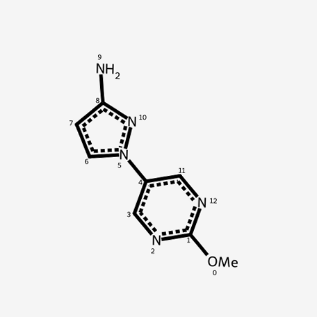 COc1ncc(-n2ccc(N)n2)cn1